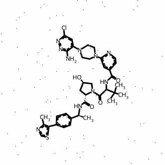 Cc1ncsc1-c1ccc([C@H](C)NC(=O)[C@@H]2C[C@@H](O)CN2C(=O)C(NC(=O)c2ccnc(N3CCN(c4cc(Cl)nnc4N)CC3)c2)C(C)(C)C)cc1